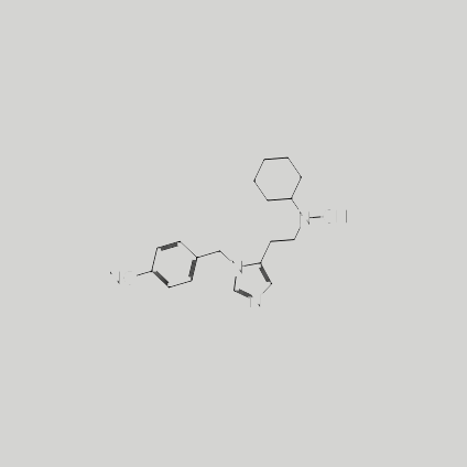 CN(CCc1cncn1Cc1ccc(C#N)cc1)C1CCCCC1